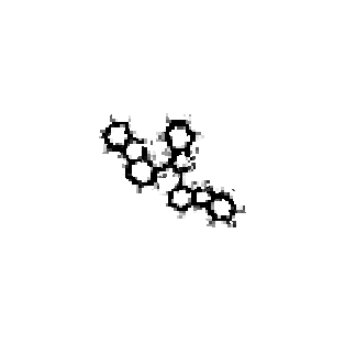 C1=CC2c3ccccc3SC2C(c2c(-c3cccc4c3sc3ccccc34)sc3ccccc23)=C1